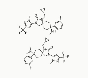 CN[C@]1(c2cccc(F)c2)CC[C@]2(CC1)CN(c1cc(C(F)(F)F)nn1C)C(=O)N2CC1CC1.Cn1nc(C(F)(F)F)cc1N1C[C@]2(CC[C@@](c3cccc(F)c3)(N(C)C)CC2)N(CC2CC2)C1=O